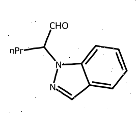 CCCC(C=O)n1ncc2ccccc21